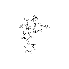 CN(C(=O)OC(C)(C)C)c1cc(C(F)(F)F)cnc1Nc1nc(-c2ccccn2)ns1